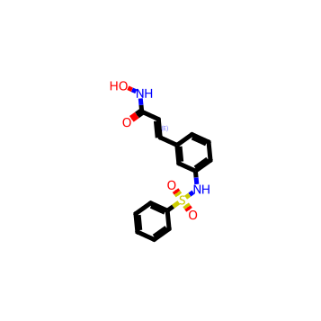 O=C(/C=C/c1cccc(NS(=O)(=O)c2ccccc2)c1)NO